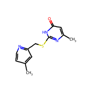 Cc1ccnc(CSc2nc(C)cc(=O)[nH]2)c1